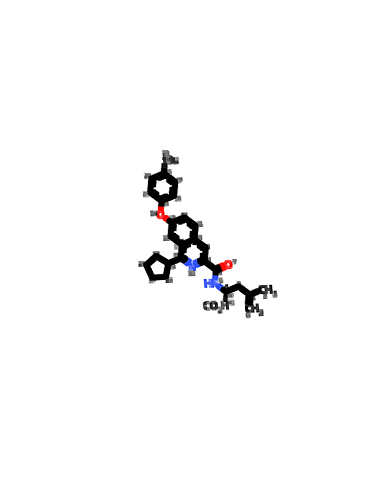 C=C(C)C[C@H](NC(=O)c1cc2ccc(Oc3ccc(C(C)(C)C)cc3)cc2c(C2CCCC2)n1)C(=O)O